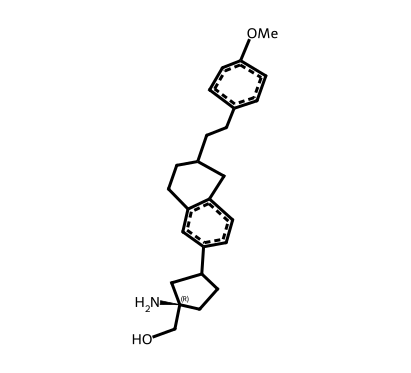 COc1ccc(CCC2CCc3cc(C4CC[C@](N)(CO)C4)ccc3C2)cc1